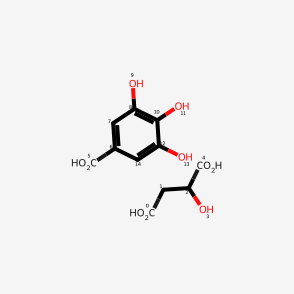 O=C(O)CC(O)C(=O)O.O=C(O)c1cc(O)c(O)c(O)c1